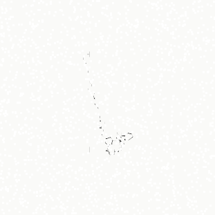 CC(C)(C)c1cc(CCC(=O)OCCOCCOCCOCCOCCOCCO)cc(-n2nc3ccccc3n2)c1O